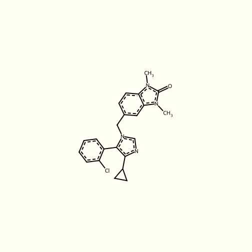 Cn1c(=O)n(C)c2cc(Cn3cnc(C4CC4)c3-c3ccccc3Cl)ccc21